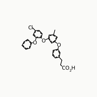 Cc1cc(Oc2cccc(CCC(=O)O)c2)cc(Oc2ccc(Cl)cc2Oc2ccccc2)c1